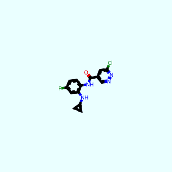 O=C(Nc1ccc(F)cc1NC1CC1)c1cnnc(Cl)c1